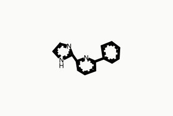 [c]1c[nH]c(-c2cccc(-c3ccccc3)n2)n1